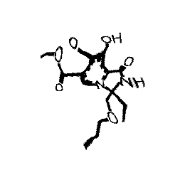 CCCOCC1(CC)NC(=O)c2c(O)c(=O)c(C(=O)OC)cn21